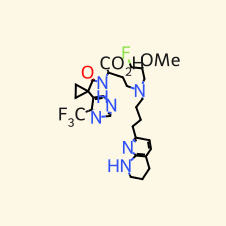 COC(CF)CN(CCCCc1ccc2c(n1)NCCC2)CCC(NC(=O)C1(c2cncnc2C(F)(F)F)CC1)C(=O)O